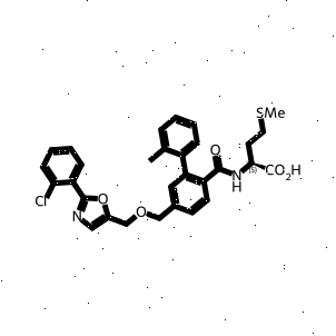 CSCC[C@H](NC(=O)c1ccc(COCc2cnc(-c3ccccc3Cl)o2)cc1-c1ccccc1C)C(=O)O